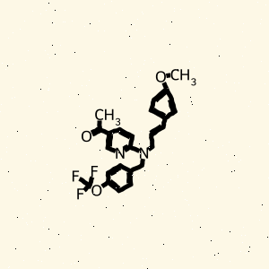 COc1ccc(/C=C/CN(Cc2ccc(OC(F)(F)F)cc2)c2ccc(C(C)=O)cn2)cc1